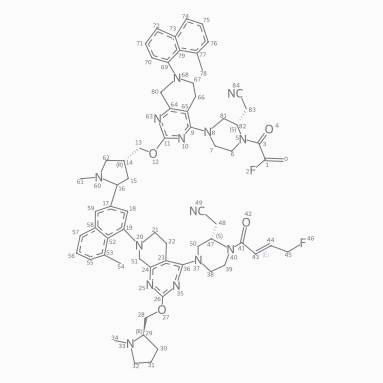 C=C(F)C(=O)N1CCN(c2nc(OC[C@@H]3CC(c4cc(N5CCc6c(nc(OC[C@H]7CCCN7C)nc6N6CCN(C(=O)/C=C/CF)[C@@H](CC#N)C6)C5)c5c(C)cccc5c4)N(C)C3)nc3c2CCN(c2cccc4cccc(C)c24)C3)C[C@@H]1CC#N